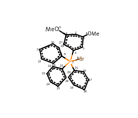 COc1cc(OC)cc(P(Br)(c2ccccc2)(c2ccccc2)c2ccccc2)c1